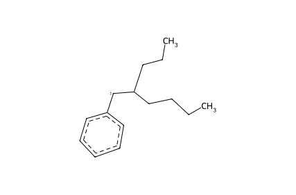 CCCCC([C]c1ccccc1)CCC